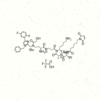 CC(C)[C@H](NC(=O)CCCCCN1C(=O)C=CC1=O)C(=O)N[C@@H](C)C(=O)N(C(=O)CCNC(=O)[C@@H](N)CCN(C(=O)CO)[C@@H](c1nc(-c2cc(F)ccc2F)cn1Cc1ccccc1)C(C)(C)C)[C@@H](CCCCN)C(=O)O.O=C(O)C(F)(F)F